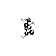 Cc1noc(C)c1-c1ccc2nc(N3CC[C@H](N)C3)n3c2c1OC[C@@H]3c1ccccn1